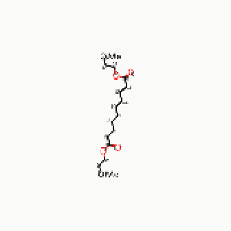 COCCOC(=O)CCCCCCCCC(=O)OCCOC